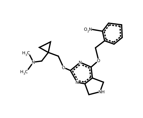 CN(C)CC1(COc2nc3c(c(OCc4ccccc4[N+](=O)[O-])n2)CNC3)CC1